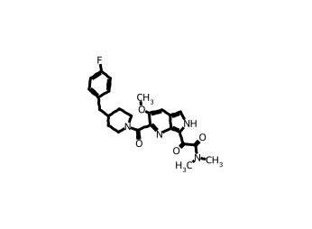 COc1cc2c[nH]c(C(=O)C(=O)N(C)C)c2nc1C(=O)N1CCC(Cc2ccc(F)cc2)CC1